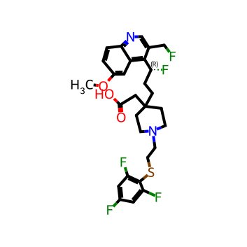 COc1ccc2ncc(CF)c([C@H](F)CCC3(CC(=O)O)CCN(CCSc4c(F)cc(F)cc4F)CC3)c2c1